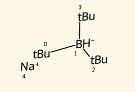 CC(C)(C)[BH-](C(C)(C)C)C(C)(C)C.[Na+]